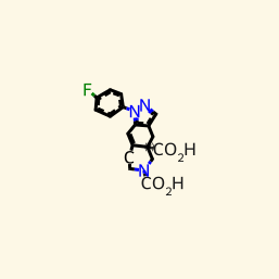 O=C(O)N1CCC2=Cc3c(cnn3-c3ccc(F)cc3)C[C@]2(C(=O)O)C1